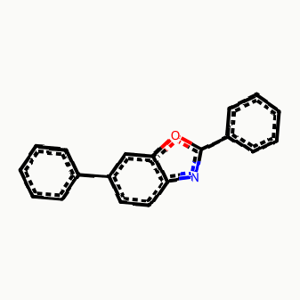 c1ccc(-c2ccc3nc(-c4ccccc4)oc3c2)cc1